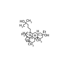 CC[C@]1(O)CC[C@@]2(C)[C@@H](CC([C@H](C)CCCC(C)(C)O)[C@H]3[C@@H]4[C@H](C)CC[C@]4(C)CC[C@@H]32)C1